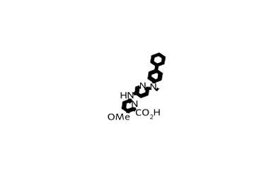 COc1ccc(Nc2ccc(N(C)c3ccc(C4CCCCC4)cc3)nc2)nc1C(=O)O